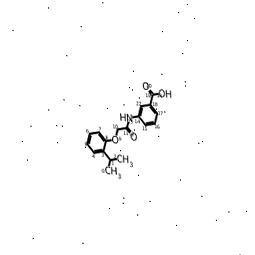 CC(C)c1ccccc1OCC(=O)Nc1cccc(C(=O)O)c1